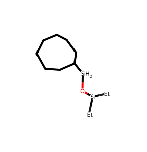 CC[Si](CC)O[SiH2]C1CCCCCCC1